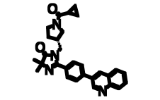 CC1(C)N=C(c2ccc(-c3cnc4ccccc4c3)cc2)N(C[C@@H]2CCN(C(=O)C3CC3)C2)C1=O